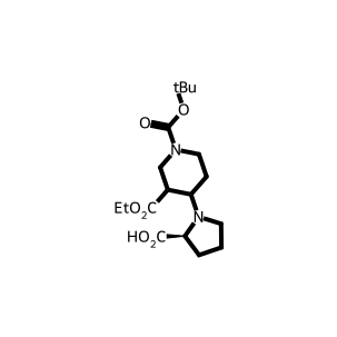 CCOC(=O)C1CN(C(=O)OC(C)(C)C)CCC1N1CCC[C@H]1C(=O)O